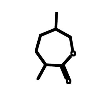 CC1CCC(C)C(=O)OC1